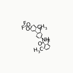 Cc1cc2c(cc1-c1ccc(NC(=O)c3c(C)cccc3F)cc1F)OC(F)(F)O2